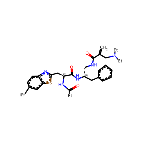 C=C(CN(CC)CC)C(=O)NC[C@H](Cc1ccccc1)NC(=O)[C@H](Cc1nc2ccc(C(C)C)cc2s1)NC(=O)CC